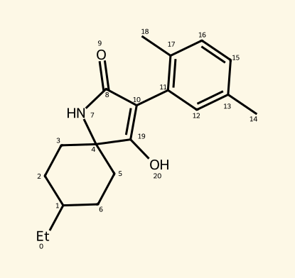 CCC1CCC2(CC1)NC(=O)C(c1cc(C)ccc1C)=C2O